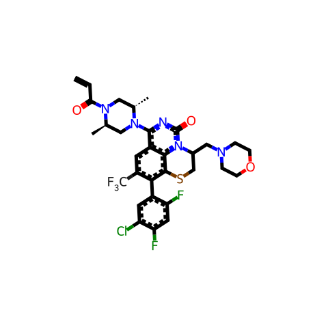 C=CC(=O)N1C[C@H](C)N(c2nc(=O)n3c4c(c(-c5cc(Cl)c(F)cc5F)c(C(F)(F)F)cc24)SCC3CN2CCOCC2)C[C@H]1C